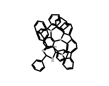 c1ccc(-c2cccc(C3=NC(c4ccccc4)NC(n4c5ccccc5c5ccc6c7ccccc7n(-c7c(-c8ccccc8)ccc8c9ccccc9n(-c9ccccc9)c78)c6c54)N3)c2)cc1